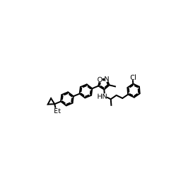 CCC1(c2ccc(-c3ccc(-c4onc(C)c4NC(C)CCc4cccc(Cl)c4)cc3)cc2)CC1